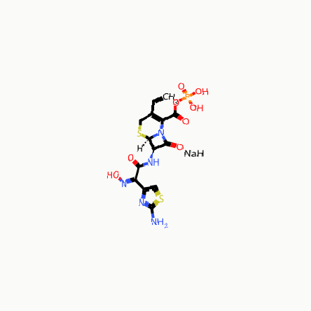 C=CC1=C(C(=O)OP(=O)(O)O)N2C(=O)[C@@H](NC(=O)/C(=N\O)c3csc(N)n3)[C@H]2SC1.[NaH]